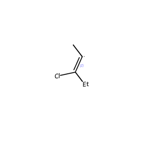 C/[C]=C(\Cl)CC